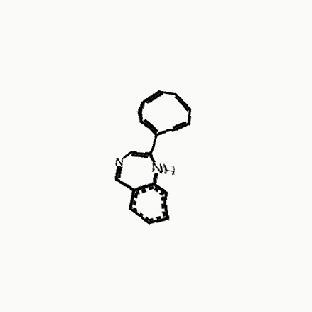 C1=CC=CC(C2=CN=Cc3ccccc3N2)=CC=C1